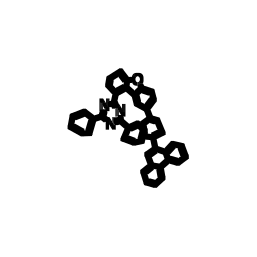 c1ccc(-c2nc(-c3ccccc3)nc(-c3cccc4oc5ccc(-c6ccc(-c7cc8ccccc8c8ccccc78)cc6)cc5c34)n2)cc1